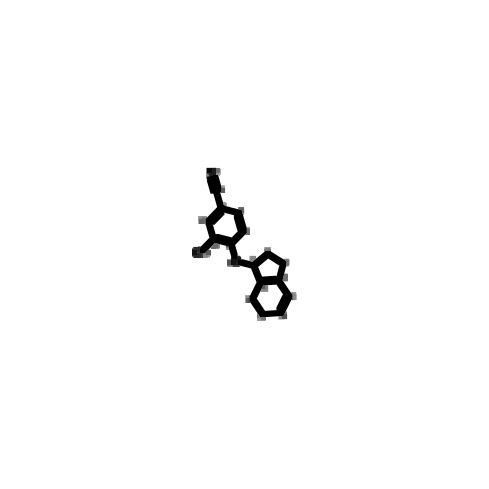 N#Cc1ccc(OC2CCC3=C2CCC=C3)c(Cl)c1